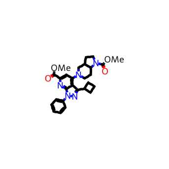 COC(=O)c1cc(N2CCC3C(CCN3C(=O)OC)C2)c2c(C3CCC3)nn(-c3ccccc3)c2n1